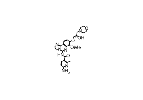 COc1c(OC[C@@H](O)CN2CCOCC2)ccc2c1N=C(NC(=O)c1ccc(N)nc1C)N1CCN=C21